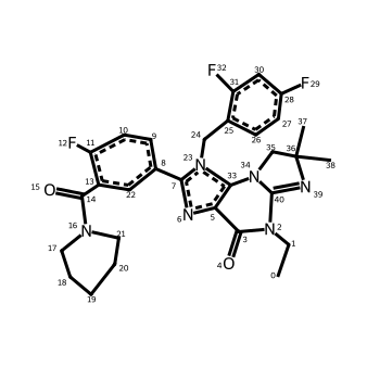 CCN1C(=O)c2nc(-c3ccc(F)c(C(=O)N4CCCCC4)c3)n(Cc3ccc(F)cc3F)c2N2CC(C)(C)N=C12